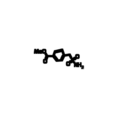 COC(=O)c1ccc(CS(N)(=O)=O)cc1